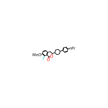 CCCc1ccc(C2CCC(C3Cc4ccc(OC)c(F)c4C(=O)O3)CC2)cc1